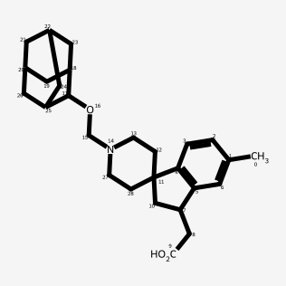 Cc1ccc2c(c1)C(CC(=O)O)CC21CCN(COC2C3CC4CC(C3)CC2C4)CC1